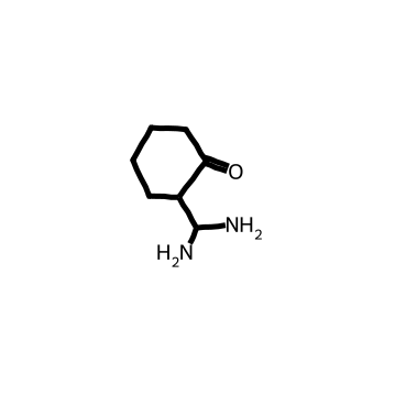 NC(N)C1CCCCC1=O